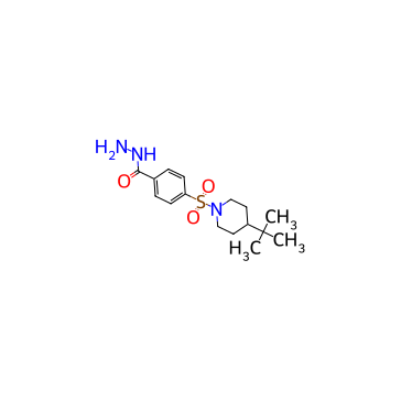 CC(C)(C)C1CCN(S(=O)(=O)c2ccc(C(=O)NN)cc2)CC1